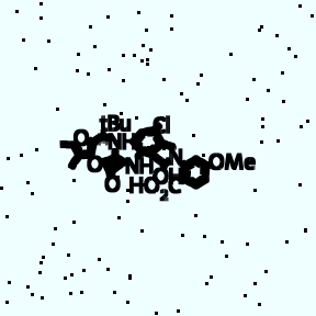 COc1ccc(C(=O)O)c(N2Cc3c(Cl)ccc(Nc4c(N[C@@H](c5cc(C)c(C)o5)C(C)(C)C)c(=O)c4=O)c3C2O)c1